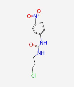 O=C(NCCCCl)Nc1ccc([N+](=O)[O-])cc1